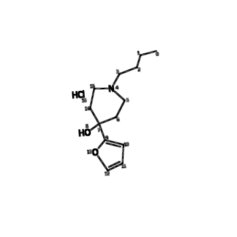 CCCCN1CCC(O)(c2ccco2)CC1.Cl